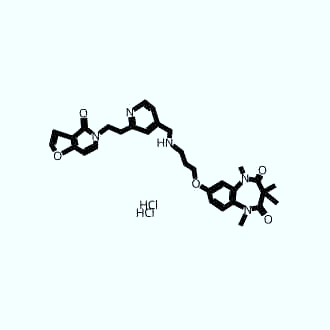 CN1C(=O)C(C)(C)C(=O)N(C)c2cc(OCCCNCc3ccnc(CCn4ccc5occc5c4=O)c3)ccc21.Cl.Cl